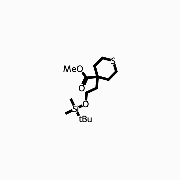 COC(=O)C1(CCO[Si](C)(C)C(C)(C)C)CCSCC1